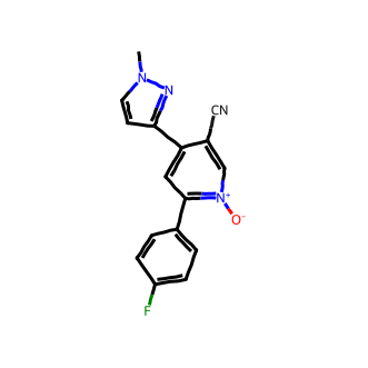 Cn1ccc(-c2cc(-c3ccc(F)cc3)[n+]([O-])cc2C#N)n1